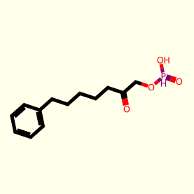 O=C(CCCCCc1ccccc1)CO[PH](=O)O